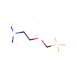 CN(C)CCOC[B-](F)(F)F.[K+]